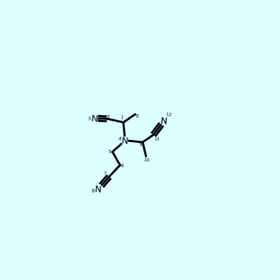 CC(C#N)N(CCC#N)C(C)C#N